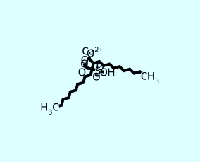 CCCCCCCCCCC(C(=O)[O-])C(CCCCCCCCCC)(C(=O)[O-])S(=O)(=O)O.[Ca+2]